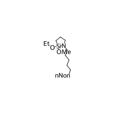 CCCCCCCCCCCCCCN1CCC[Si]1(OC)OCC